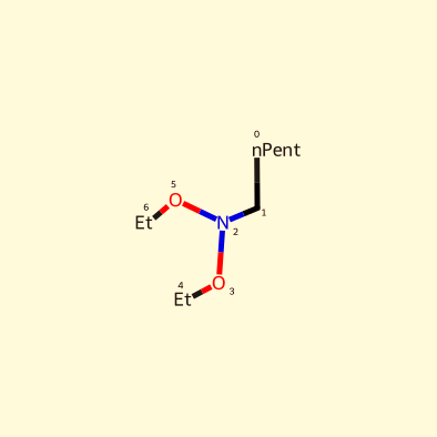 CCCCCCN(OCC)OCC